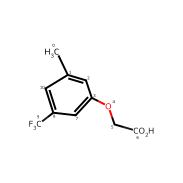 Cc1cc(OCC(=O)O)cc(C(F)(F)F)c1